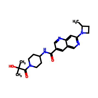 CC1CCN1c1cc2ncc(C(=O)NC3CCN(C(=O)C(C)(C)O)CC3)cc2cn1